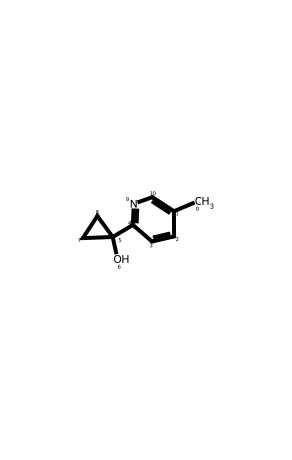 Cc1ccc(C2(O)CC2)nc1